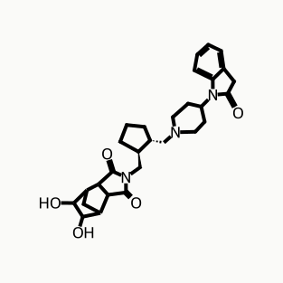 O=C1C2C3CC(C(O)C3O)C2C(=O)N1C[C@H]1CCC[C@@H]1CN1CCC(N2C(=O)Cc3ccccc32)CC1